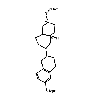 CCCCCCCc1ccc2c(c1)CCC(C1CCC3C[C@H](OCCCCCC)CC[C@@H]3C1)C2